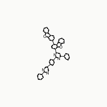 c1ccc(-c2cc(-c3ccc(-c4ccc5c(c4)oc4ccccc45)c4c3oc3ccccc34)nc(-c3ccc(-c4cnc(-c5ccccc5)nc4)cc3)n2)cc1